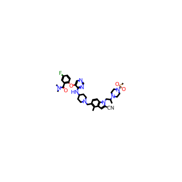 Cc1c(CN2CCC(Nc3ncncc3Oc3ccc(F)cc3C(=O)N(C)C)CC2)ccc2c1cc(C#N)n2CC(C)N1CCN(S(C)(=O)=O)CC1